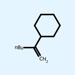 C=C(CCCC)C1CCCCC1